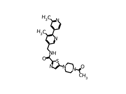 CC(=O)N1CCN(c2cnc(C(=O)NCc3cnc(-c4ccnc(C)c4)c(C)c3)s2)CC1